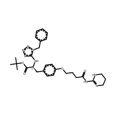 CC(C)(C)OC(=O)[C@H](Cc1ccc(OCCCC(=O)NC2=NCCCN2)cc1)Nc1nnnn1Cc1ccccc1